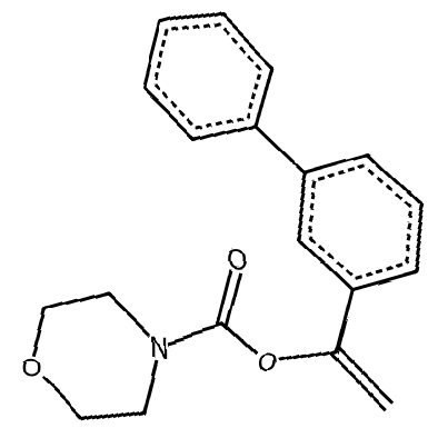 C=C(OC(=O)N1CCOCC1)c1cccc(-c2ccccc2)c1